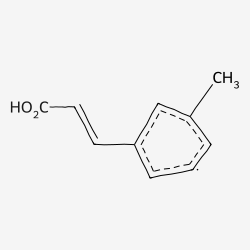 Cc1c[c]cc(C=CC(=O)O)c1